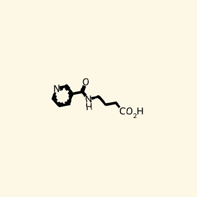 O=C(O)CCCNC(=O)c1cccnc1